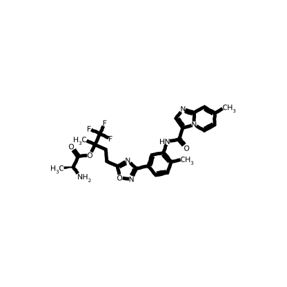 Cc1ccn2c(C(=O)Nc3cc(-c4noc(CCC(C)(OC(=O)[C@H](C)N)C(F)(F)F)n4)ccc3C)cnc2c1